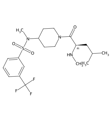 CN[C@H](CC(C)C)C(=O)N1CCC(N(C)S(=O)(=O)c2cccc(C(F)(F)F)c2)CC1